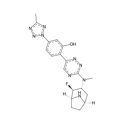 Cc1nnn(-c2ccc(-c3cnc(N(C)[C@@H]4C[C@H]5CC[C@H](N5)[C@H]4F)nn3)c(O)c2)n1